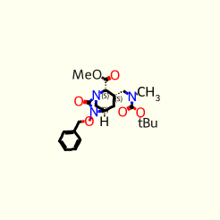 COC(=O)[C@@H]1[C@H](CN(C)C(=O)OC(C)(C)C)C[C@@H]2CN1C(=O)N2OCc1ccccc1